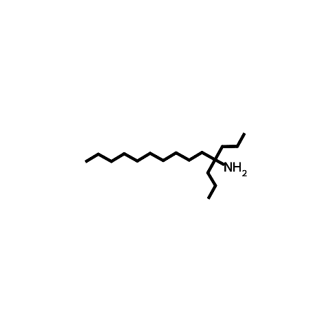 CCCCCCCCCCC(N)(CCC)CCC